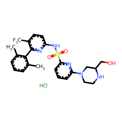 Cc1cccc(C)c1-c1nc(NS(=O)(=O)c2cccc(N3CCNC(CO)C3)n2)ccc1C(F)(F)F.Cl